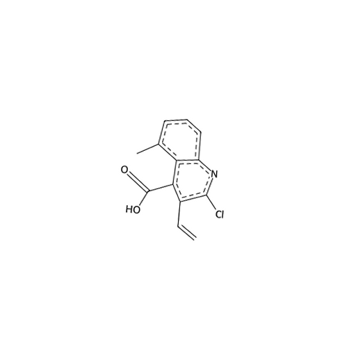 C=Cc1c(Cl)nc2cccc(C)c2c1C(=O)O